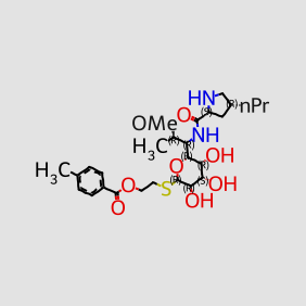 CCC[C@H]1CN[C@H](C(=O)N[C@@H]([C@H]2O[C@H](SCCOC(=O)c3ccc(C)cc3)[C@H](O)[C@@H](O)[C@H]2O)[C@@H](C)OC)C1